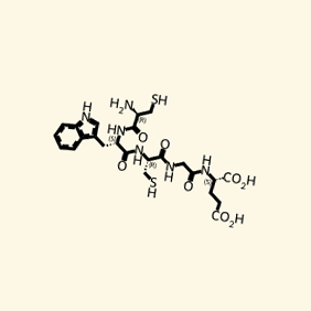 N[C@@H](CS)C(=O)N[C@@H](Cc1c[nH]c2ccccc12)C(=O)N[C@@H](CS)C(=O)NCC(=O)N[C@@H](CCC(=O)O)C(=O)O